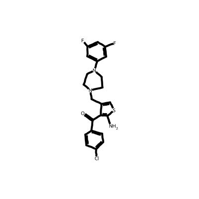 Nc1scc(CN2CCN(c3cc(F)cc(F)c3)CC2)c1C(=O)c1ccc(Cl)cc1